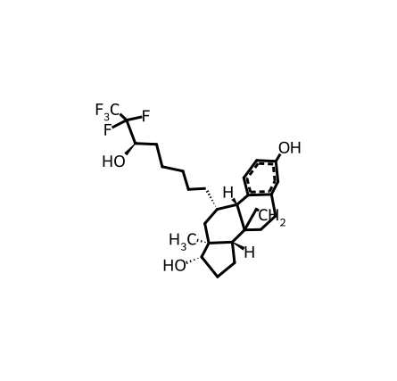 C=CC12CCc3cc(O)ccc3[C@H]1[C@@H](CCCCC[C@@H](O)C(F)(F)C(F)(F)F)C[C@]1(C)[C@@H](O)CC[C@@H]21